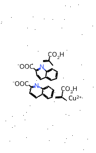 C=C(C)C(=O)O.C=C(C)C(=O)O.O=C([O-])c1ccc2ccccc2n1.O=C([O-])c1ccc2ccccc2n1.[Cu+2]